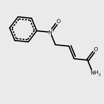 NC(=O)C=CC[N+](=O)c1ccccc1